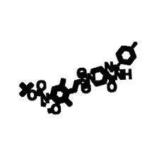 COc1c(N(C)C(=O)OC(C)(C)C)cc(C)c(CCS(=O)(=O)N2CCC3(CC2)N=C([C@H]2CC[C@H](C)CC2)NC3=O)c1C